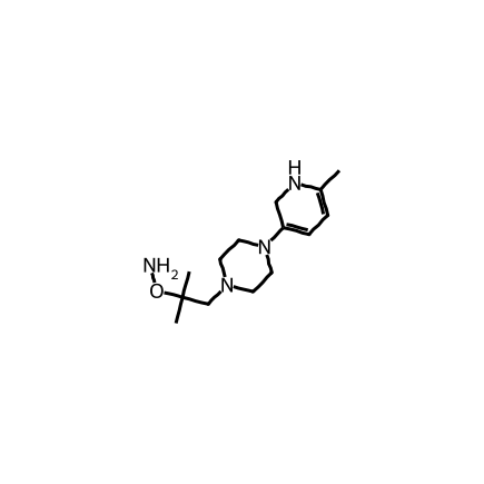 CC1=CC=C(N2CCN(CC(C)(C)ON)CC2)CN1